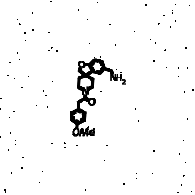 COc1ccc(CC(=O)N2CCC3(CC2)COc2ccc(CN)cc23)cc1